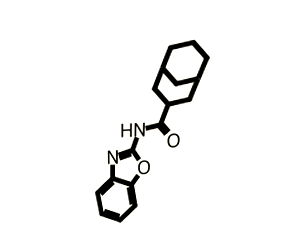 O=C(Nc1nc2ccccc2o1)C1CC2CCCC(C2)C1